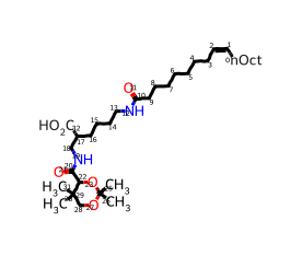 CCCCCCCC/C=C\CCCCCCCC(=O)NCCCCC(CNC(=O)C1OC(C)(C)OCC1(C)C)C(=O)O